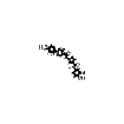 Cc1ccc(N2CCN(C(=O)CN3CCC(C(=O)Nc4ccc(O)c(Cl)c4)C3)CC2)cc1